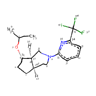 CC(C)O[C@H]1CC[C@@H]2CN(c3cccc(C(F)(F)F)n3)C[C@@H]21